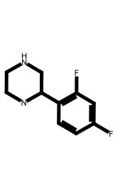 Fc1ccc(C2CNCC[N]2)c(F)c1